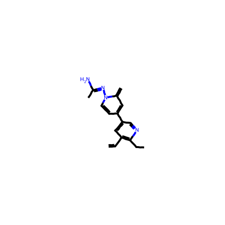 C=Cc1cc(C2=CC(=C)N(/N=C(\C)N)C=C2)cnc1CC